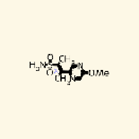 COc1cnc(/C(C)=C(\C)S(N)(=O)=O)cn1